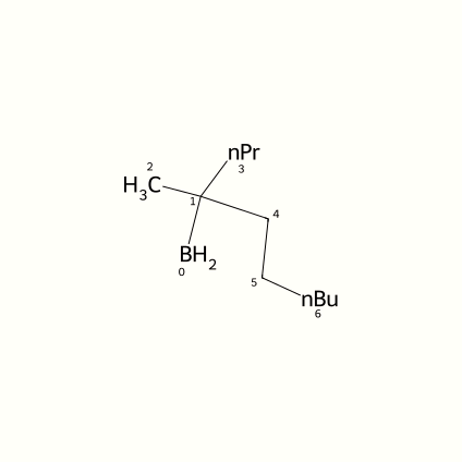 BC(C)(CCC)CCCCCC